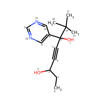 CCC(O)C#CC(O)(c1cncnc1)C(C)(C)C